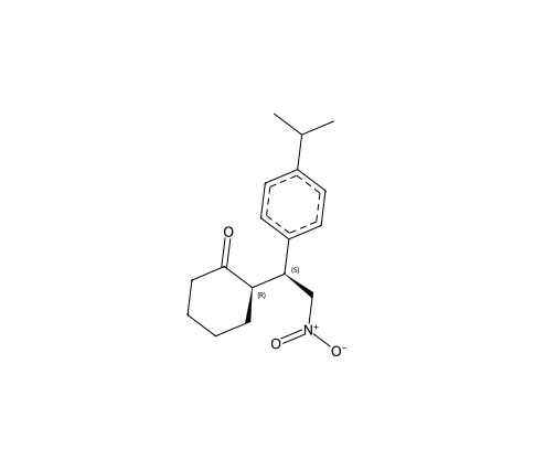 CC(C)c1ccc([C@@H](C[N+](=O)[O-])[C@H]2CCCCC2=O)cc1